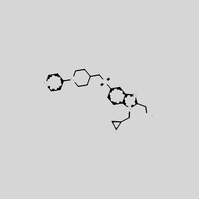 CC(C)(C)Cc1nc2cc(S(=O)(=O)CC3CCN(c4ccncc4)CC3)ccc2n1CC1CC1